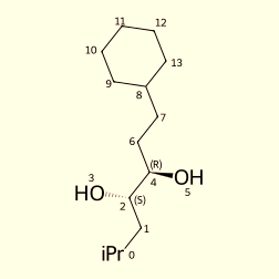 CC(C)C[C@H](O)[C@H](O)CCC1CCCCC1